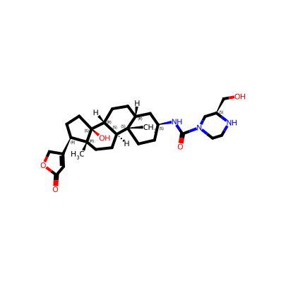 C[C@]12CC[C@H](NC(=O)N3CCN[C@H](CO)C3)C[C@H]1CC[C@@H]1[C@@H]2CC[C@]2(C)[C@@H](C3=CC(=O)OC3)CC[C@]12O